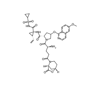 C=C[C@@H]1C[C@]1(NC(=O)[C@@H]1CC(Oc2nccc3cc(OC)ccc23)CN1C(=O)[C@@H](N)CCC(=O)N1CC[C@H]2C[C@@H]1C(=O)O2)C(=O)NS(=O)(=O)C1CC1